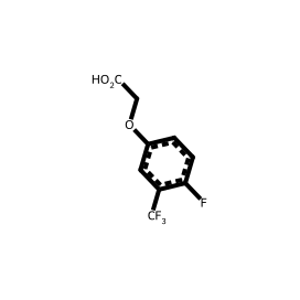 O=C(O)COc1ccc(F)c(C(F)(F)F)c1